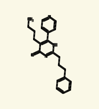 CCCCc1c(-c2ccncc2)[nH]c(CCCc2ccccc2)nc1=O